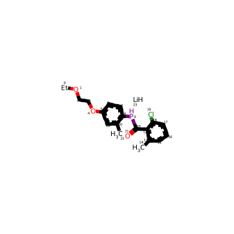 CCOCCOc1ccc(PC(=O)c2c(C)cccc2Cl)c(C)c1.[LiH]